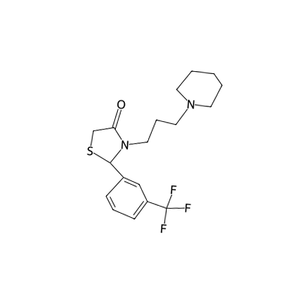 O=C1CSC(c2cccc(C(F)(F)F)c2)N1CCCN1CCCCC1